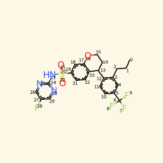 CCCc1cc(C(F)(F)F)ccc1C1CCOc2cc(S(=O)(=O)Nc3ncc(F)cn3)ccc21